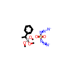 CO[Si](OC)(OC)C(C)c1ccccc1.[N-]=[N+]=NS(=O)(=O)N=[N+]=[N-]